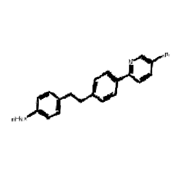 CCCCCCc1ccc(CCc2ccc(-c3ccc(CCC)cn3)cc2)cc1